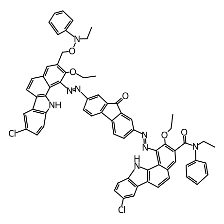 CCOc1c(CON(CC)c2ccccc2)cc2ccc3c4cc(Cl)ccc4[nH]c3c2c1N=Nc1ccc2c(c1)C(=O)c1cc(N=Nc3c(OCC)c(C(=O)N(CC)c4ccccc4)cc4ccc5c6cc(Cl)ccc6[nH]c5c34)ccc1-2